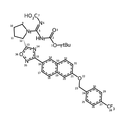 CC(C)(C)OC(=O)N/C(=N/C(=O)O)N1CCC[C@H]1c1nc(-c2ccc3cc(OCc4ccc(C(F)(F)F)cc4)ccc3c2)no1